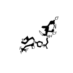 Cc1cc(Cl)nc(Cl)c1C(=O)NCC[C@@H](C)N1CCC(N(Cc2ccsc2)C(=O)CC(F)(F)F)CC1